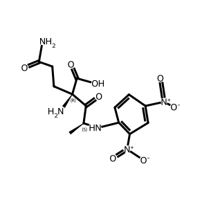 C[C@H](Nc1ccc([N+](=O)[O-])cc1[N+](=O)[O-])C(=O)[C@](N)(CCC(N)=O)C(=O)O